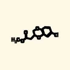 COC(=O)CC1COc2ccc(Cl)cc2O1